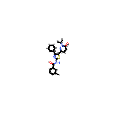 Cc1cccc(C(=O)Nc2nc(-c3ccccc3)c(-c3ccc(=O)n(C(C)C)n3)s2)c1